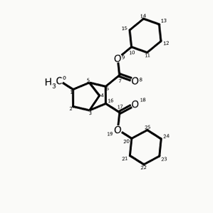 CC1CC2CC1C(C(=O)OC1CCCCC1)C2C(=O)OC1CCCCC1